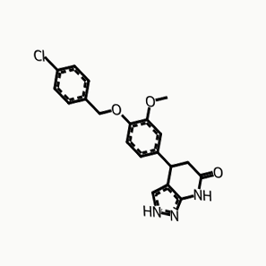 COc1cc(C2CC(=O)Nc3n[nH]cc32)ccc1OCc1ccc(Cl)cc1